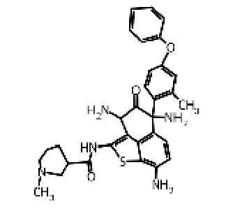 Cc1cc(Oc2ccccc2)ccc1C1(N)C(=O)C(N)c2c(NC(=O)C3CCCN(C)C3)sc3c(N)ccc1c23